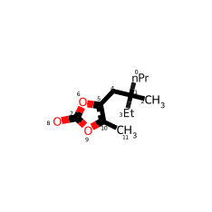 CCCC(C)(CC)Cc1oc(=O)oc1C